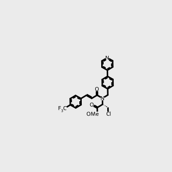 COC(=O)[C@@H](CCl)N(Cc1ccc(-c2ccncc2)cc1)C(=O)C=Cc1ccc(C(F)(F)F)cc1